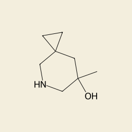 CC1(O)CNCC2(CC2)C1